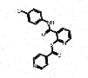 O=C(Sc1ncccc1C(=O)Nc1ccc(Cl)cc1)c1ccncc1